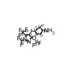 Cc1cc(Cc2c(OC(F)F)nn(C(F)F)c2C(F)(F)F)ccc1N